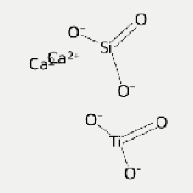 O=[Si]([O-])[O-].[Ca+2].[Ca+2].[O]=[Ti]([O-])[O-]